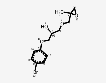 CC1(COC[C@H](O)COc2ccc(Br)cc2)CO1